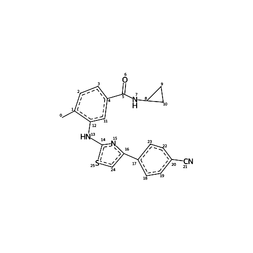 Cc1ccc(C(=O)NC2CC2)cc1Nc1nc(-c2ccc(C#N)cc2)cs1